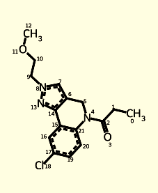 CCC(=O)N1Cc2cn(CCOC)nc2-c2cc(Cl)ccc21